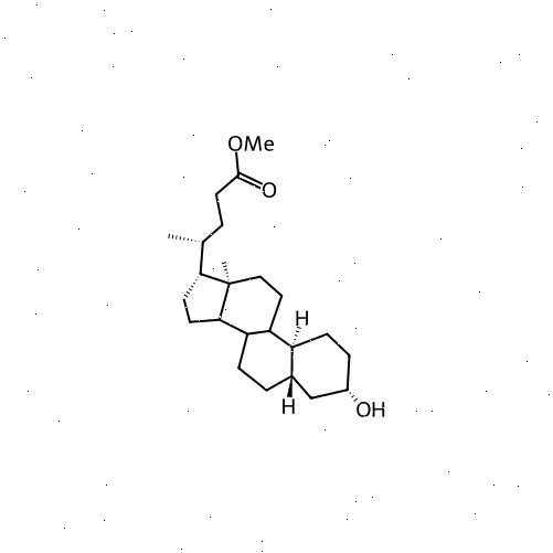 COC(=O)CC[C@@H](C)[C@H]1CCC2C3CC[C@H]4C[C@@H](O)CC[C@@H]4C3CC[C@@]21C